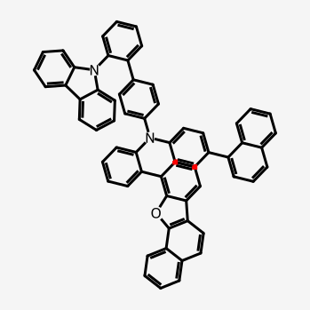 c1ccc(N(c2ccc(-c3ccccc3-n3c4ccccc4c4ccccc43)cc2)c2ccc(-c3cccc4ccccc34)cc2)c(-c2cccc3c2oc2c4ccccc4ccc32)c1